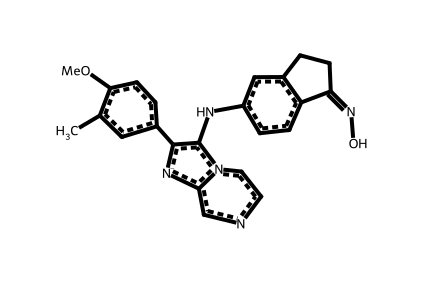 COc1ccc(-c2nc3cnccn3c2Nc2ccc3c(c2)CC/C3=N/O)cc1C